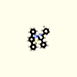 C[C@@H]1C=CC=C(C2=NC(n3c4ccccc4c4ccc5c6ccccc6sc5c43)=CC(c3ccccc3)C2)C1